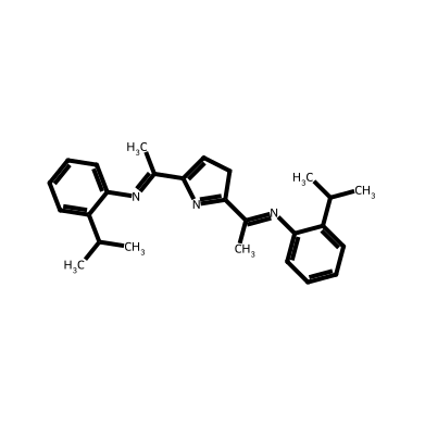 C/C(=N\c1ccccc1C(C)C)C1=CCC(/C(C)=N/c2ccccc2C(C)C)=N1